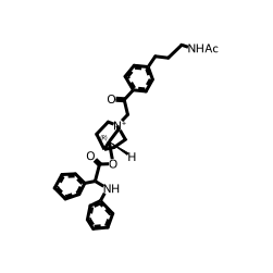 CC(=O)NCCCc1ccc(C(=O)C[N+]23CCC(CC2)[C@@H](OC(=O)C(Nc2ccccc2)c2ccccc2)C3)cc1